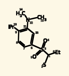 CCC([S])S(=O)(=O)c1ccc(C(C)C)c(N(C)C)c1